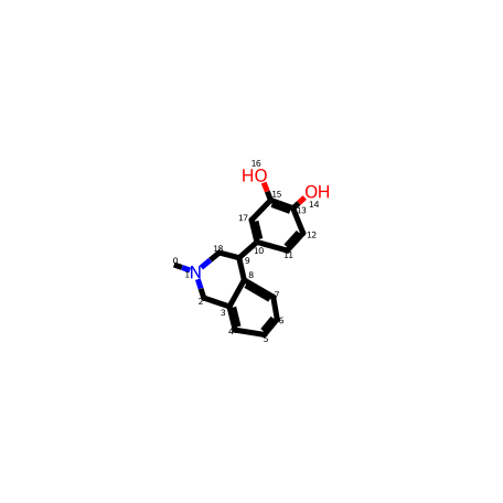 CN1Cc2ccccc2C(c2ccc(O)c(O)c2)C1